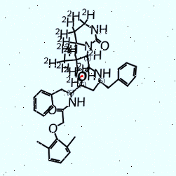 [2H]C([2H])([2H])C([2H])(C([2H])([2H])[2H])[C@@]([2H])(C(=O)N[C@@H](Cc1ccccc1)C[C@H](O)[C@H](Cc1ccccc1)NC(=O)COc1c(C)cccc1C)N1C(=O)NC([2H])([2H])C([2H])([2H])C1([2H])[2H]